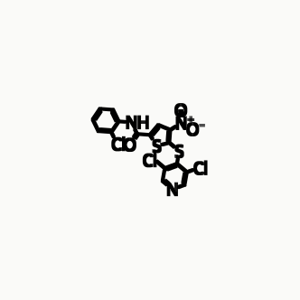 O=C(Nc1ccccc1Cl)c1cc([N+](=O)[O-])c(Sc2c(Cl)cncc2Cl)s1